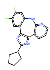 Fc1cc2c(cc1F)-c1nc(C3CCCC3)[nH]c1-c1cccnc1N2